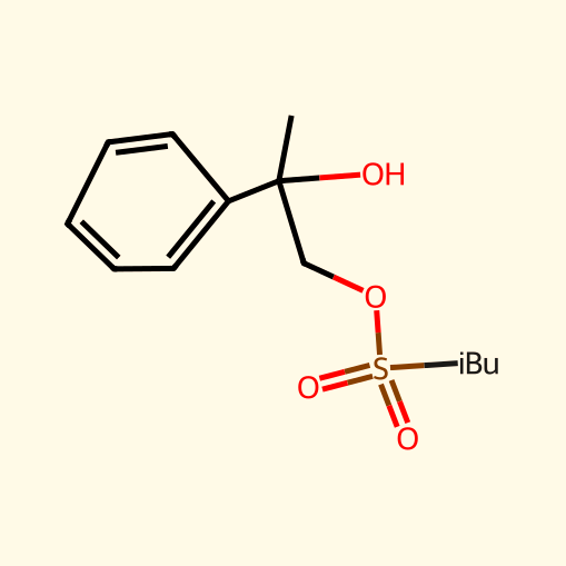 CCC(C)S(=O)(=O)OCC(C)(O)c1ccccc1